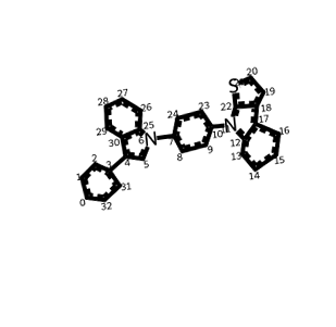 c1ccc(-c2cn(-c3ccc(-n4c5ccccc5c5ccsc54)cc3)c3ccccc23)cc1